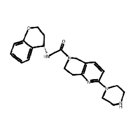 O=C(N[C@H]1CCOc2ccccc21)N1CCc2nc(N3CCNCC3)ccc2C1